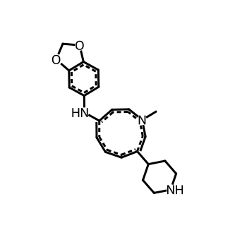 Cn1ccc(Nc2ccc3c(c2)OCO3)cccc(C2CCNCC2)c1